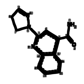 NC(=O)c1cc(N2CCC=N2)nc2ccccc12